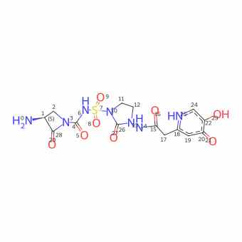 N[C@H]1CN(C(=O)NS(=O)(=O)N2CCN(NC(=O)Cc3cc(=O)c(O)c[nH]3)C2=O)C1=O